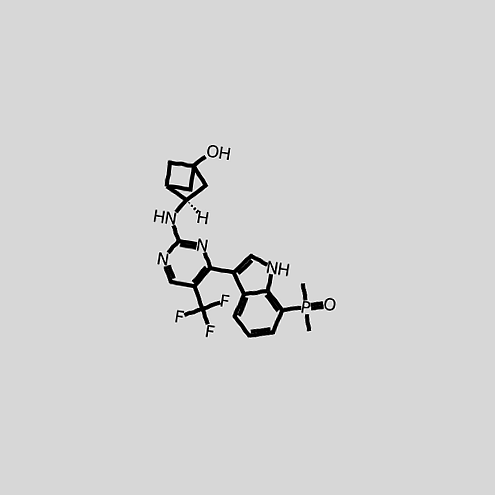 CP(C)(=O)c1cccc2c(-c3nc(N[C@@H]4CC5(O)CC4C5)ncc3C(F)(F)F)c[nH]c12